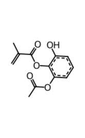 C=C(C)C(=O)Oc1c(O)cccc1OC(C)=O